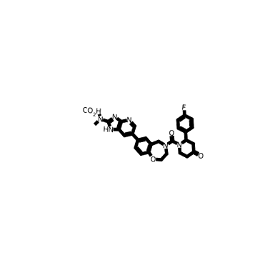 CN(C(=O)O)c1nc2ncc(-c3ccc4c(c3)CN(C(=O)N3CCC(=O)CC3c3ccc(F)cc3)CCO4)cc2[nH]1